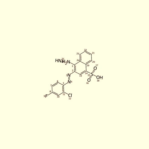 Nc1c(N=Nc2ccc(F)cc2Cl)cc(S(=O)(=O)O)c2ccccc12.[NaH]